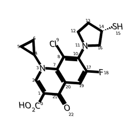 O=C(O)c1cn(C2CC2)c2c(Cl)c(N3CC[C@H](S)C3)c(F)cc2c1=O